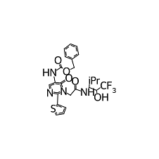 CC(C)C(NC(=O)Cn1c(-c2cccs2)ncc(NC(=O)OCc2ccccc2)c1=O)C(O)C(F)(F)F